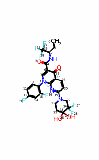 CC[C@@H](NC(=O)c1cn(-c2ccc(F)cc2F)c2nc(N3CCC(O)(O)C(F)(F)C3)ccc2c1=O)C(F)(F)F